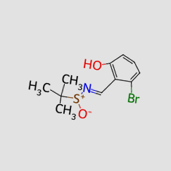 CC(C)(C)[S+]([O-])/N=C/c1c(O)cccc1Br